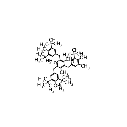 Cc1cc(Cc2c(C)c(Cc3cc(C(C)(C)C)c(C)c(C(C)(C)C)c3)c(C)c(Cc3cc(C(C)(C)C)c(O)c(C(C)(C)C)c3)c2C)cc(C(C)(C)C)c1O